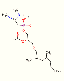 CCCCCCCCCCCCC(C)CC(C)COCC(COP(=O)(O)CC(=NC)N(C)C)OC(=O)CC